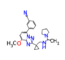 C=C(NCC1(c2nc3c(OC)ccc(-c4cccc(C#N)c4)n3n2)CC1)N1CCCC1